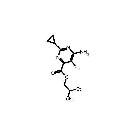 CCCCC(CC)COC(=O)c1nc(C2CC2)nc(N)c1Cl